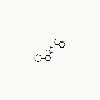 CN(C)c1c(C(=O)N[C@H]2CCOc3ccccc32)cnc2c(C3CCCCCC3)cccc12